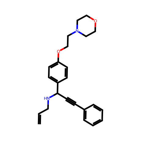 C=CCNC(C#Cc1ccccc1)c1ccc(OCCN2CCOCC2)cc1